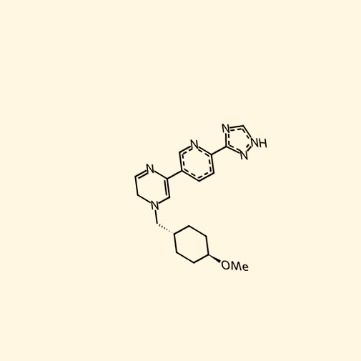 CO[C@H]1CC[C@H](CN2C=C(c3ccc(-c4nc[nH]n4)nc3)N=CC2)CC1